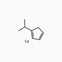 CC(C)C1=CC=CC1.[La]